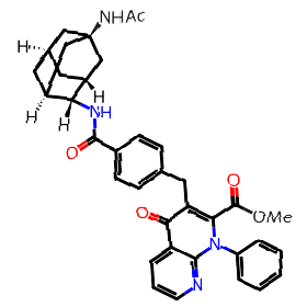 COC(=O)c1c(Cc2ccc(C(=O)N[C@H]3[C@@H]4C[C@H]5C[C@H]3C[C@](NC(C)=O)(C5)C4)cc2)c(=O)c2cccnc2n1-c1ccccc1